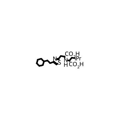 CC(C)C[C@H](N[C@@H](Cc1nc(CCC2CCCCC2)cs1)C(=O)O)C(=O)O